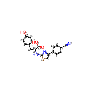 N#Cc1ccc(-c2csc(N[C@@H](Cc3ccc(O)cc3)C(=O)O)n2)cc1